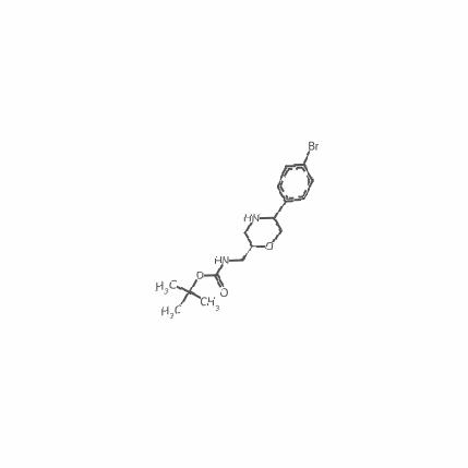 CC(C)(C)OC(=O)NC[C@H]1CNC(c2ccc(Br)cc2)CO1